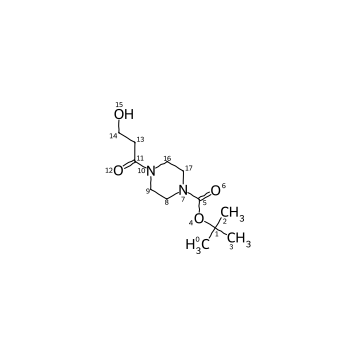 CC(C)(C)OC(=O)N1CCN(C(=O)CCO)CC1